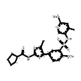 COc1cc(C)c(NS(=O)(=O)c2cc(-c3sc(NC(=O)C4CCCC4)nc3C)ccc2OC)cn1